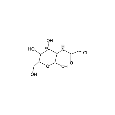 O=C(CCl)NC1C(O)OC(CO)C(O)[C@@H]1O